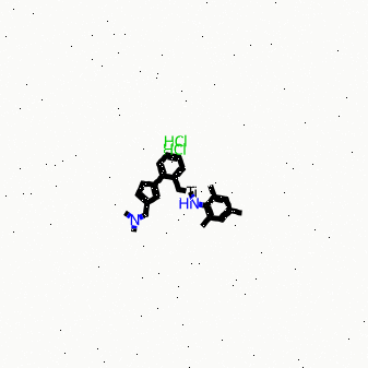 Cc1cc(C)c([NH][Ti][CH2]c2ccccc2C2=CC(CN(C)C)=CC2)c(C)c1.Cl.Cl